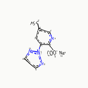 Cc1cnc(C(=O)[O-])c(-n2nccn2)c1.[Na+]